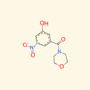 O=C(c1cc(O)cc([N+](=O)[O-])c1)N1CCOCC1